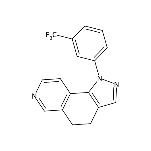 FC(F)(F)c1cccc(-n2ncc3c2-c2ccncc2CC3)c1